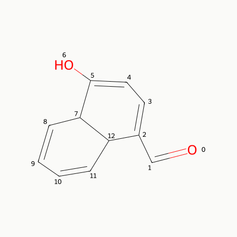 O=CC1=CC=C(O)C2C=CC=CC12